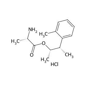 Cc1ccccc1[C@H](C)[C@H](C)OC(=O)[C@H](C)N.Cl